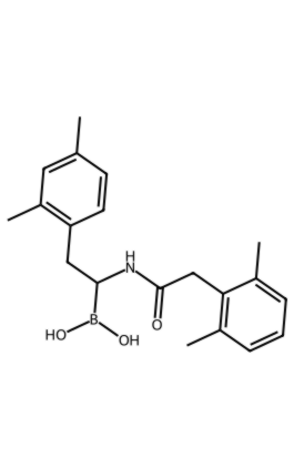 Cc1ccc(CC(NC(=O)Cc2c(C)cccc2C)B(O)O)c(C)c1